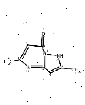 Cc1cc(=O)n2[nH]c(C)cc2n1